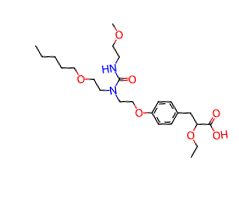 CCCCCOCCN(CCOc1ccc(CC(OCC)C(=O)O)cc1)C(=O)NCCOC